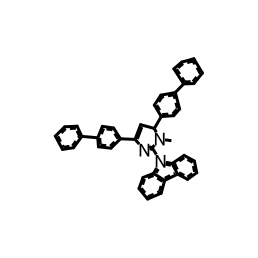 CN1C(n2c3ccccc3c3ccccc32)=NC(c2ccc(-c3ccccc3)cc2)=CC1c1ccc(-c2ccccc2)cc1